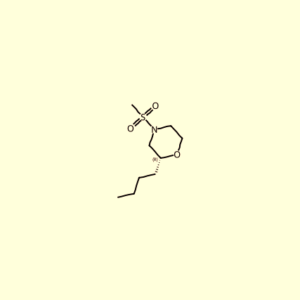 CCCC[C@@H]1CN(S(C)(=O)=O)CCO1